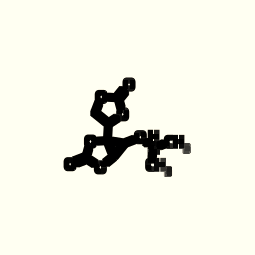 C[SiH](C)OC1C2OC(=O)OC21C1COC(=O)O1